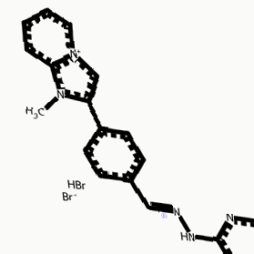 Br.Cn1c(-c2ccc(/C=N/Nc3ncccn3)cc2)c[n+]2ccccc12.[Br-]